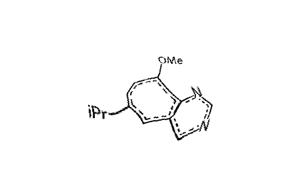 COc1cc(C(C)C)cc2cncnc12